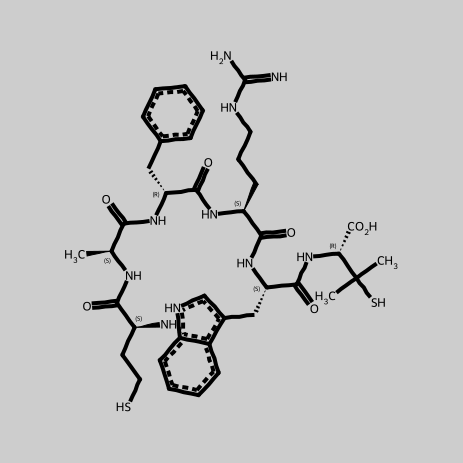 C[C@H](NC(=O)[C@@H](N)CCS)C(=O)N[C@H](Cc1ccccc1)C(=O)N[C@@H](CCCNC(=N)N)C(=O)N[C@@H](Cc1c[nH]c2ccccc12)C(=O)N[C@H](C(=O)O)C(C)(C)S